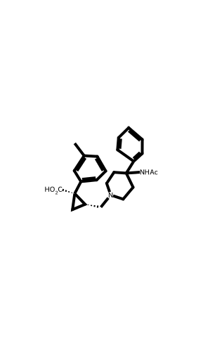 CC(=O)NC1(c2ccccc2)CCN(C[C@@H]2C[C@@]2(C(=O)O)c2cccc(C)c2)CC1